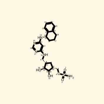 NS(=O)(=O)OC[C@H]1C[C@@H](CNc2cc(N[C@H]3CCCc4ccccc43)ncn2)[C@H](O)[C@@H]1O